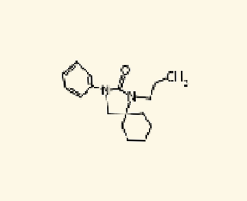 CCCN1C(=O)N(c2ccccc2)CC12CCCCC2